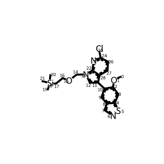 COc1cc2sncc2cc1-c1cn(COCC[Si](C)(C)C)c2nc(Cl)ccc12